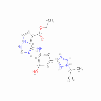 CCOC(=O)c1ccn2ncnc(Nc3cc(O)cc(-c4nnn(C(C)C)n4)c3)c12